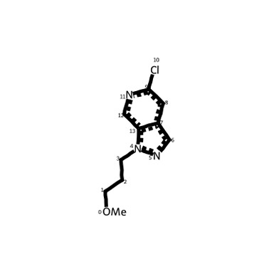 COCCCn1ncc2cc(Cl)ncc21